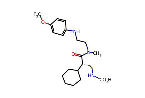 CN(CCNc1ccc(OC(F)(F)F)cc1)C(=O)[C@H](CNC(=O)O)C1CCCCC1